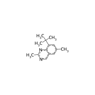 Cc1cc(C(C)(C)C)c2nc(C)ncc2c1